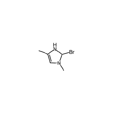 CC1=CN(C)C(Br)N1